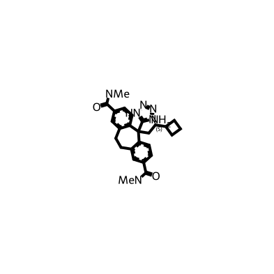 CNC(=O)c1ccc2c(c1)CCc1cc(C(=O)NC)ccc1C2(C[C@H](N)C1CCC1)c1nnn[nH]1